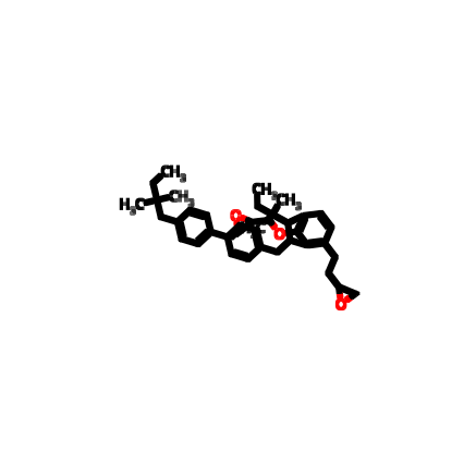 CCC(C)(C)Cc1ccc(-c2ccc(CC3c4c(CCC5CO5)ccc(c4OCC4CO4)C3C(C)(C)CC)cc2)cc1